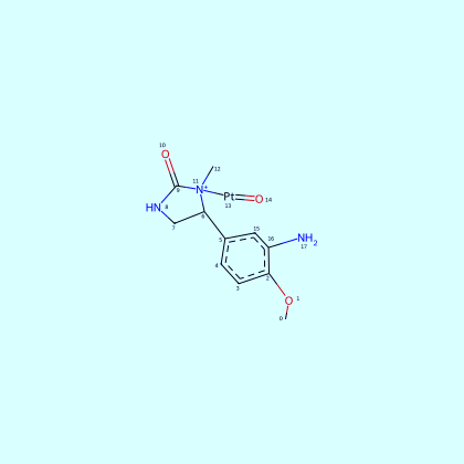 COc1ccc(C2CNC(=O)[N+]2(C)[Pt]=[O])cc1N